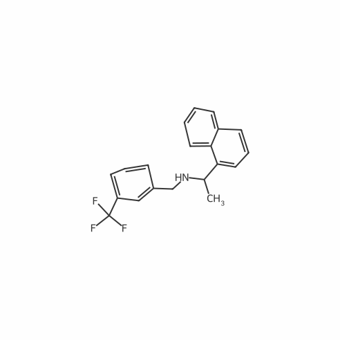 CC(NCc1cccc(C(F)(F)F)c1)c1cccc2ccccc12